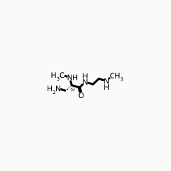 CNCCNC(=O)[C@H](CN)NC